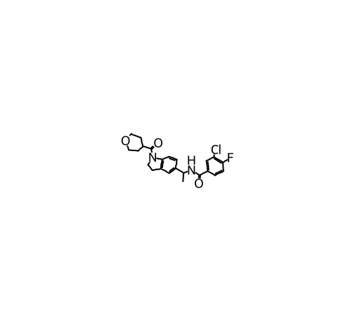 CC(NC(=O)c1ccc(F)c(Cl)c1)c1ccc2c(c1)CCN2C(=O)C1CCOCC1